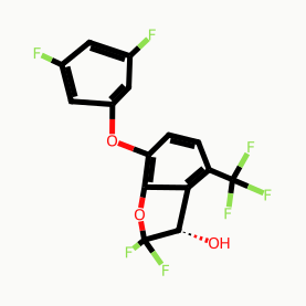 O[C@H]1c2c(C(F)(F)F)ccc(Oc3cc(F)cc(F)c3)c2OC1(F)F